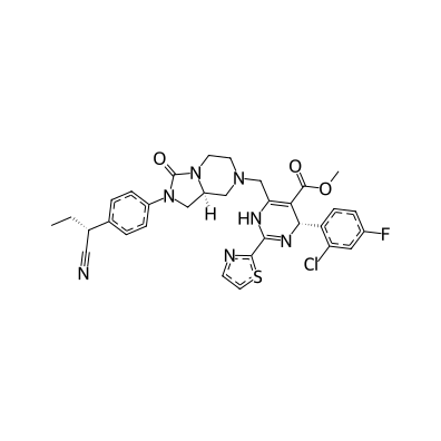 CC[C@@H](C#N)c1ccc(N2C[C@@H]3CN(CC4=C(C(=O)OC)[C@H](c5ccc(F)cc5Cl)N=C(c5nccs5)N4)CCN3C2=O)cc1